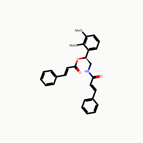 COc1cccc([C@@H](CNC(=O)/C=C/c2ccccc2)OC(=O)/C=C/c2ccccc2)c1OC